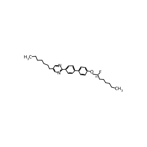 CCCCCCCc1cnc(-c2ccc(-c3ccc(OC[C@@H](F)CCCCCC)cc3)cc2)nc1